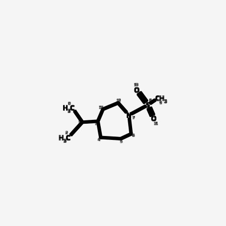 CC(C)C1CCCN(S(C)(=O)=O)CC1